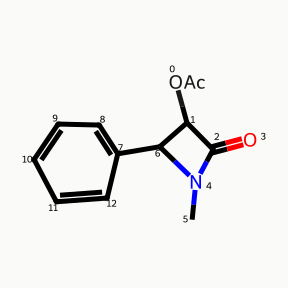 CC(=O)OC1C(=O)N(C)C1c1ccccc1